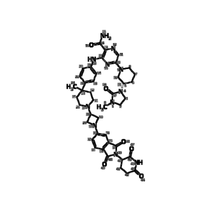 CN1CCN([C@H]2CCCN(c3cnc(C(N)=O)c(Nc4ccc(C5(C)CCN(C6CN(c7ccc8c(c7)C(=O)N(C7CCC(=O)NC7=O)C8=O)C6)CC5)cc4)n3)C2)C1=O